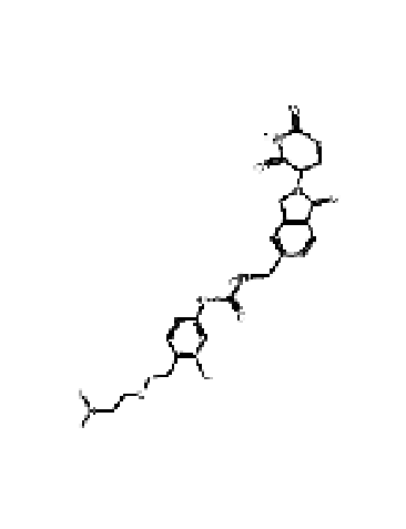 CN(I)CCOCCc1ccc(NC(=O)NCc2ccc3c(c2)CN(C2CCC(=O)NC2=O)C3=O)cc1Cl